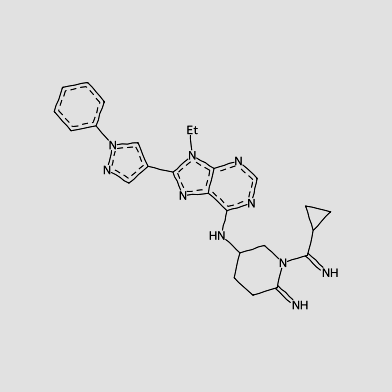 CCn1c(-c2cnn(-c3ccccc3)c2)nc2c(NC3CCC(=N)N(C(=N)C4CC4)C3)ncnc21